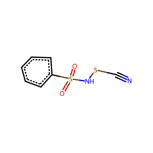 N#CSNS(=O)(=O)c1ccccc1